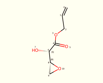 C=CCOC(=O)[C@@H](O)[C@H]1CO1